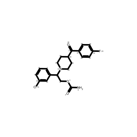 NC(=O)OCC(c1cccc(Cl)c1)N1CCC(C(=O)c2ccc(F)cc2)CC1